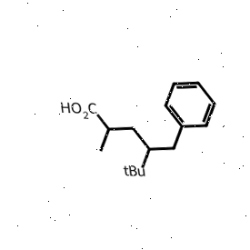 CC(CC(Cc1ccccc1)C(C)(C)C)C(=O)O